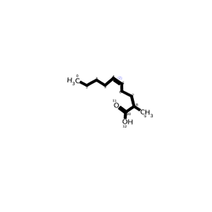 CCCC/C=C\CCC(C)C(=O)O